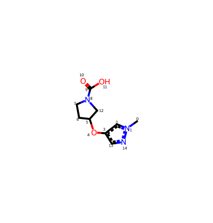 Cn1cc(OC2CCN(C(=O)O)C2)cn1